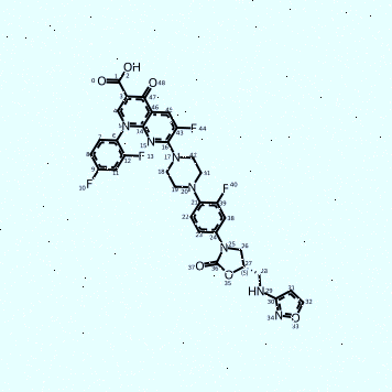 O=C(O)c1cn(-c2ccc(F)cc2F)c2nc(N3CCN(c4ccc(N5C[C@H](CNc6ccon6)OC5=O)cc4F)CC3)c(F)cc2c1=O